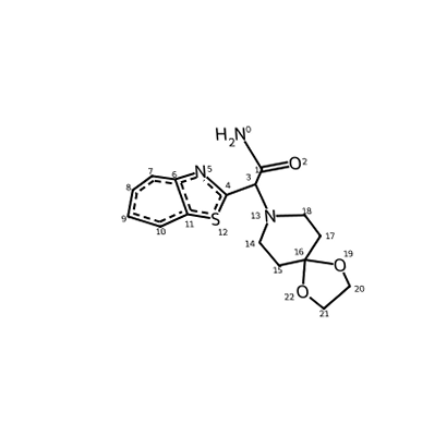 NC(=O)C(c1nc2ccccc2s1)N1CCC2(CC1)OCCO2